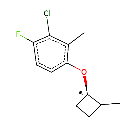 Cc1c(O[C@@H]2CCC2C)ccc(F)c1Cl